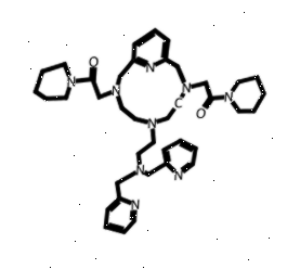 O=C(CN1CCN(CCN(Cc2ccccn2)Cc2ccccn2)CCN(CC(=O)N2CCCCC2)Cc2cccc(n2)C1)N1CCCCC1